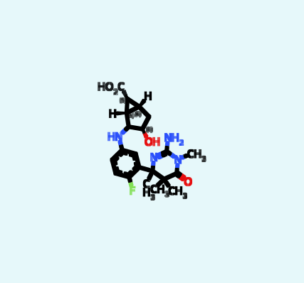 CN1C(=O)C(C)(C)C(C)(c2cc(NC3[C@H]4[C@@H](C[C@H]3O)[C@@H]4C(=O)O)ccc2F)N=C1N